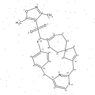 Cc1noc(C)c1S(=O)(=O)CC1=CCCC2(CC=C(CC3=NC(Cc4ccc(F)cc4)=C=CS3)C2)CC1